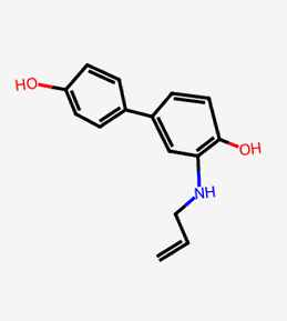 C=CCNc1cc(-c2ccc(O)cc2)ccc1O